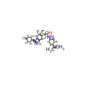 CN(C)c1ccc(NCC(O)(c2ccc3c(cnn3-c3ccc(F)cc3)c2)C(F)(F)F)cc1